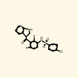 O=C(c1c(F)ccc(NS(=O)(=O)c2ccc(Cl)cc2)c1F)C1CNc2ncccc21